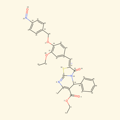 CCOC(=O)C1=C(C)N=c2s/c(=C\c3ccc(OCc4ccc(N=O)cc4)c(OCC)c3)c(=O)n2C1c1ccccc1